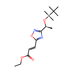 CCOC(=O)/C=C/c1nc([C@H](C)O[Si](C)(C)C(C)(C)C)no1